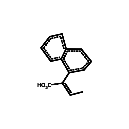 C/C=C(/C(=O)O)c1cccc2ccccc12